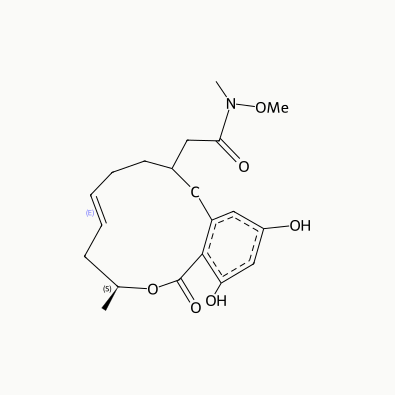 CON(C)C(=O)CC1CC/C=C/C[C@H](C)OC(=O)c2c(O)cc(O)cc2C1